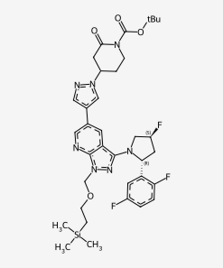 CC(C)(C)OC(=O)N1CCC(n2cc(-c3cnc4c(c3)c(N3C[C@@H](F)C[C@@H]3c3cc(F)ccc3F)nn4COCC[Si](C)(C)C)cn2)CC1=O